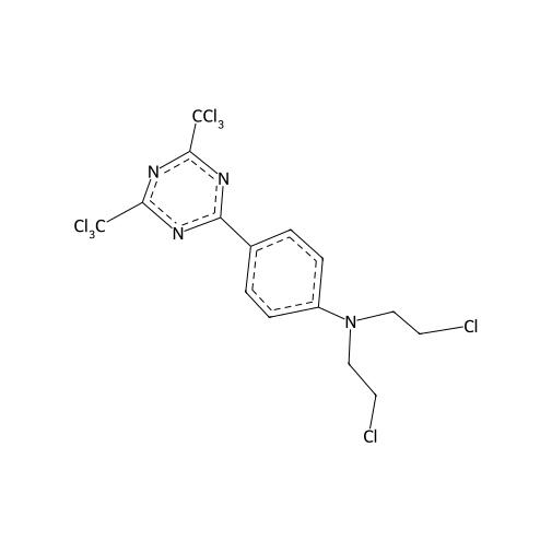 ClCCN(CCCl)c1ccc(-c2nc(C(Cl)(Cl)Cl)nc(C(Cl)(Cl)Cl)n2)cc1